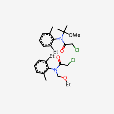 CCOCN(C(=O)CCl)c1c(C)cccc1CC.CCc1cccc(C)c1N(C(=O)CCl)C(C)(C)OC